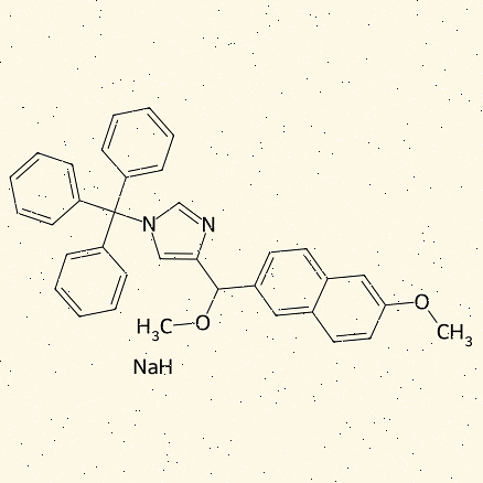 COc1ccc2cc(C(OC)c3cn(C(c4ccccc4)(c4ccccc4)c4ccccc4)cn3)ccc2c1.[NaH]